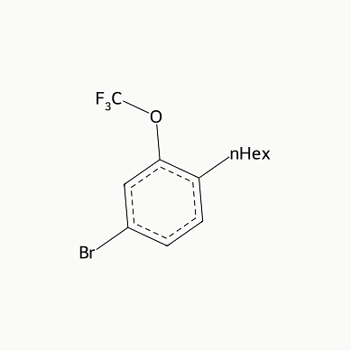 CCCCCCc1ccc(Br)cc1OC(F)(F)F